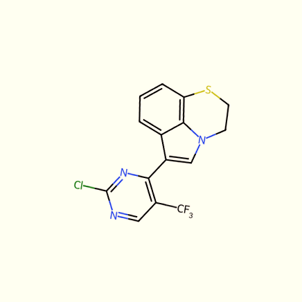 FC(F)(F)c1cnc(Cl)nc1-c1cn2c3c(cccc13)SCC2